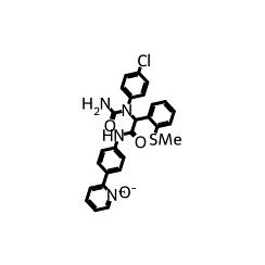 CSc1ccccc1C(C(=O)Nc1ccc(-c2cccc[n+]2[O-])cc1)N(C(N)=O)c1ccc(Cl)cc1